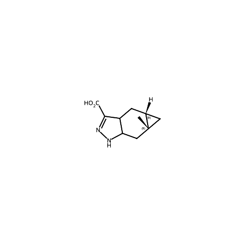 C[C@@]12CC3NN=C(C(=O)O)C3C[C@@H]1C2